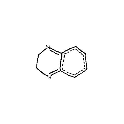 c1ccc2c(c1)=NCCN=2